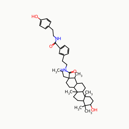 CCCC1(C(=O)NCCc2cccc(C(=O)NCCc3ccc(O)cc3)c2)CCC2C(CCC3C2(C)CCC2C(C)(C)C(O)CCC23C)C1C